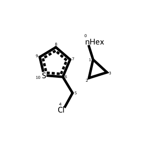 CCCCCCC1CC1.ClCc1cccs1